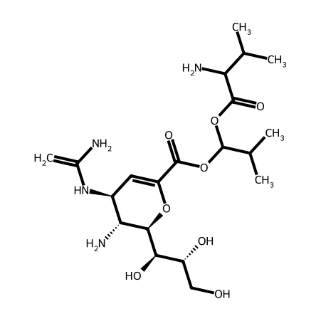 C=C(N)N[C@H]1C=C(C(=O)OC(OC(=O)C(N)C(C)C)C(C)C)O[C@@H]([C@H](O)[C@H](O)CO)[C@@H]1N